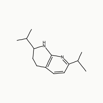 CC(C)c1ccc2c(n1)NC(C(C)C)CC2